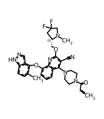 C=CC(=O)N1CCN(c2c(C#N)c(OC[C@@H]3CC(F)(F)CN3C)nc3c(Oc4c(C)ccc5[nH]ncc45)cccc23)CC1